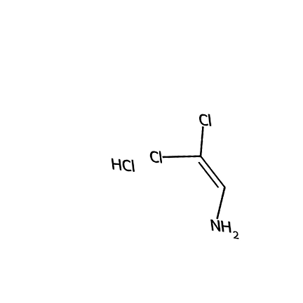 Cl.NC=C(Cl)Cl